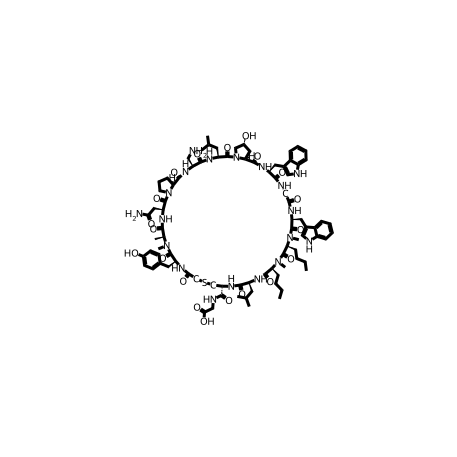 CCCC[C@H]1C(=O)N(C)[C@@H](CCCC)C(=O)N[C@@H](CC(C)C)C(=O)N[C@H](C(=O)NCC(=O)O)CSCC(=O)N[C@@H](Cc2ccc(O)cc2)C(=O)N(C)[C@@H](C)C(=O)N[C@@H](CC(N)=O)C(=O)N2CCC[C@H]2C(=O)N[C@@H](CN)C(=O)N[C@@H](CC(C)C)C(=O)N2C[C@H](O)C[C@H]2C(=O)N[C@@H](Cc2c[nH]c3ccccc23)C(=O)NCC(=O)N[C@@H](Cc2c[nH]c3ccccc23)C(=O)N1C